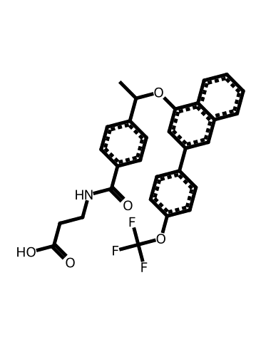 CC(Oc1cc(-c2ccc(OC(F)(F)F)cc2)cc2ccccc12)c1ccc(C(=O)NCCC(=O)O)cc1